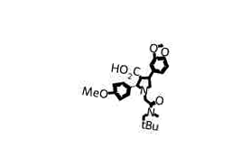 COc1ccc([C@@H]2C(C(=O)O)C(c3ccc4c(c3)OCO4)CN2CC(=O)N(C)CC(C)(C)C)cc1